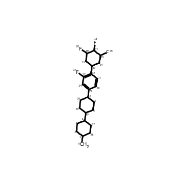 CC1CCC(C2CCC(c3ccc(C4CC(F)C(F)C(F)C4)c(F)c3)CC2)CC1